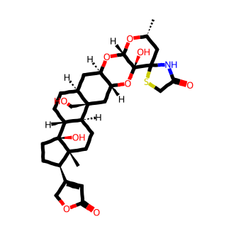 C[C@@H]1CC2(NC(=O)CS2)[C@]2(O)O[C@@H]3C[C@@]4(CO)[C@@H](CC[C@@H]5[C@@H]4CC[C@]4(C)[C@@H](C6=CC(=O)OC6)CC[C@]54O)C[C@H]3O[C@@H]2O1